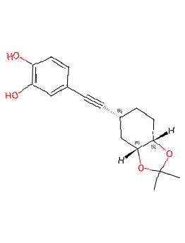 CC1(C)O[C@H]2CC[C@@H](C#Cc3ccc(O)c(O)c3)C[C@H]2O1